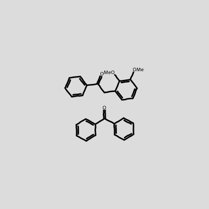 COc1cccc(CC(=O)c2ccccc2)c1OC.O=C(c1ccccc1)c1ccccc1